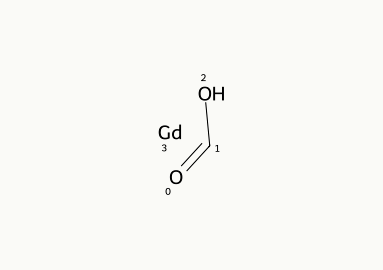 O=CO.[Gd]